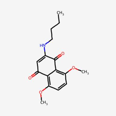 CCCCNC1=CC(=O)c2c(OC)ccc(OC)c2C1=O